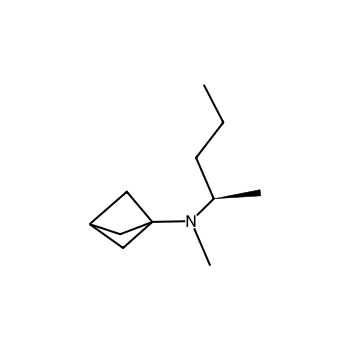 CCC[C@@H](C)N(C)C12CC(C1)C2